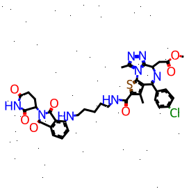 COC(=O)CC1N=C(c2ccc(Cl)cc2)c2c(sc(C(=O)NCCCCCNc3cccc4c3C(=O)N(C3CCC(=O)NC3=O)C4=O)c2C)-n2c(C)nnc21